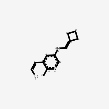 CC/C=C\c1cc(NC=C2CCC2)cnc1C